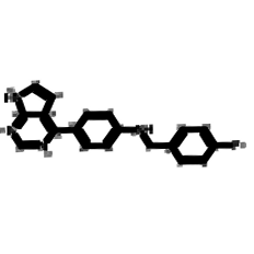 Fc1ccc(CNc2ccc(-c3ncnc4[nH]ccc34)cc2)cc1